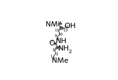 CNCCC[C@H](N)C(=O)NCCC[C@@H](CO)NC